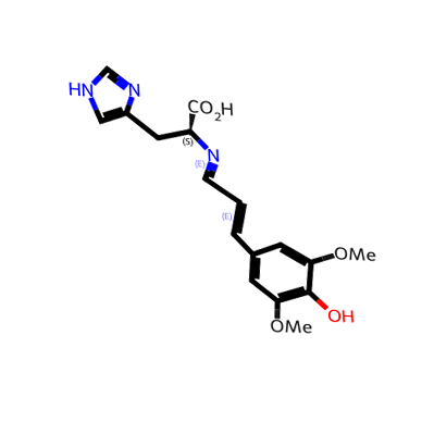 COc1cc(/C=C/C=N/[C@@H](Cc2c[nH]cn2)C(=O)O)cc(OC)c1O